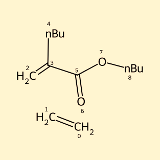 C=C.C=C(CCCC)C(=O)OCCCC